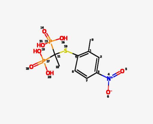 Cc1cc([N+](=O)[O-])ccc1SC(C)(P(=O)(O)O)P(=O)(O)O